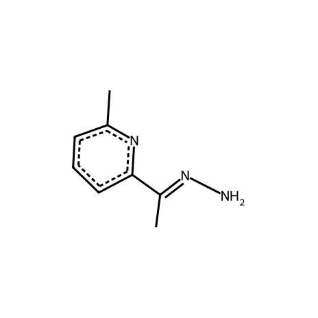 CC(=NN)c1cccc(C)n1